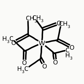 C[C](=O)[W]([C](C)=O)([C](C)=O)([C](C)=O)([C](C)=O)[C](C)=O